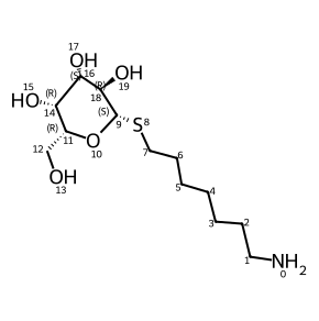 NCCCCCCCS[C@@H]1O[C@H](CO)[C@H](O)[C@H](O)[C@H]1O